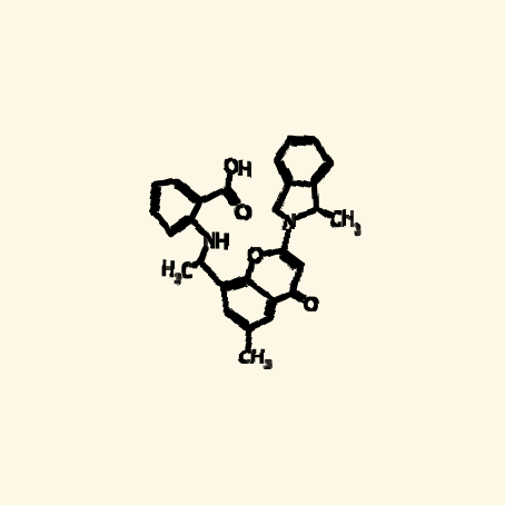 Cc1cc([C@@H](C)Nc2ccccc2C(=O)O)c2oc(N3Cc4ccccc4[C@H]3C)cc(=O)c2c1